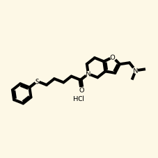 CN(C)Cc1cc2c(o1)CCN(C(=O)CCCCSc1ccccc1)C2.Cl